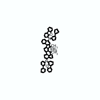 CC1(C)c2cc(N(c3cccc(-c4ccccc4)c3)c3cccc4c3oc3ccccc34)c3ccccc3c2-c2ccc3c(c21)C(C)(C)c1cccc2c(N(c4cccc(-c5ccccc5)c4)c4cccc5c4oc4ccccc45)ccc-3c12